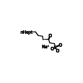 CCCCCCCCCCCC(=O)CCS(=O)(=O)[O-].[Na+]